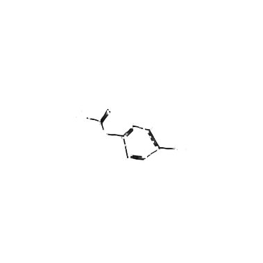 CC(=O)Nc1ccc(OC(=O)C=O)cc1